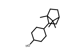 CC1(C)C2CCC1(C)C(C1CCC(O)CC1)C2